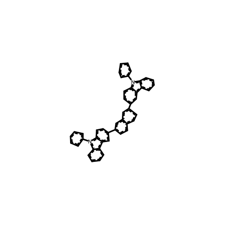 c1ccc(-n2c3ccccc3c3cc(-c4ccc5ccc(-c6ccc7c(c6)c6ccccc6n7-c6ccccc6)cc5c4)ccc32)cc1